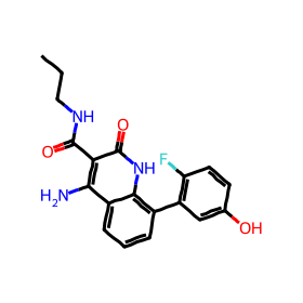 CCCNC(=O)c1c(N)c2cccc(-c3cc(O)ccc3F)c2[nH]c1=O